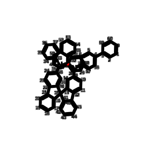 c1ccc(-c2ccc(N(c3ccc4c(c3)C3(c5ccccc5-c5ccc(N(c6ccccc6)c6ccccc6)cc53)c3ccccc3-4)c3cccc4ccccc34)cc2)cc1